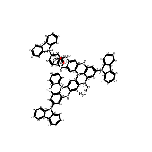 CSN1c2cc3c(cc2B2c4cc5c(cc4Oc4cc(-n6c7ccccc7c7ccccc76)cc1c42)Nc1cc(-n2c4ccccc4c4ccccc42)cc2c1B5c1ccccc1O2)B1c2ccccc2Oc2cc(-n4c5ccccc5c5ccccc54)cc(c21)O3